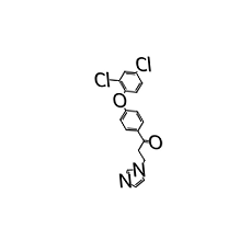 O=C(CCn1ccnc1)c1ccc(Oc2ccc(Cl)cc2Cl)cc1